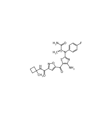 C[C@@H](C(N)=O)N(c1ccc(F)cc1)c1nc(N)c(C(=O)c2cc(C(=O)NC3(C)CCC3)no2)s1